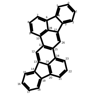 c1ccc2c(c1)c1cccc3c4cc5c6ccccc6c6cccc(c4cc2c13)c65